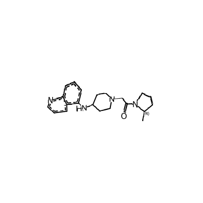 C[C@@H]1CCCN1C(=O)CN1CCC(Nc2cccc3ncccc23)CC1